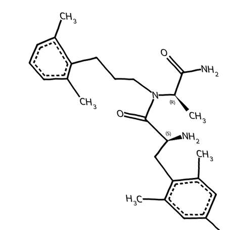 Cc1cccc(C)c1CCCN(C(=O)[C@@H](N)Cc1c(C)cc(O)cc1C)[C@H](C)C(N)=O